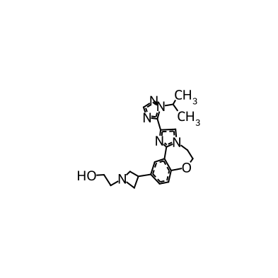 CC(C)n1ncnc1-c1cn2c(n1)-c1cc(C3CN(CCO)C3)ccc1OCC2